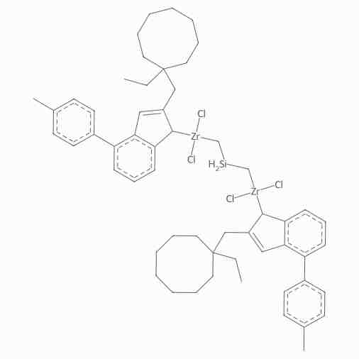 CCC1(CC2=Cc3c(-c4ccc(C)cc4)cccc3[CH]2[Zr]([Cl])([Cl])[CH2][SiH2][CH2][Zr]([Cl])([Cl])[CH]2C(CC3(CC)CCCCCCC3)=Cc3c(-c4ccc(C)cc4)cccc32)CCCCCCC1